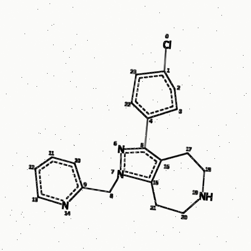 Clc1ccc(-c2nn(Cc3ccccn3)c3c2CCNCC3)cc1